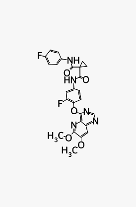 COc1cc2ncnc(Oc3ccc(NC(=O)C4(C(=O)Nc5ccc(F)cc5)CC4)cc3F)c2nc1OC